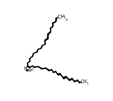 CCCCCCCCCCCCCCCCCCCCc1nc[nH]c1CCCCCCCCCCCCCCCCCCC